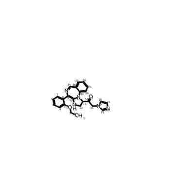 CCOc1ccccc1C1=C2NCC(C(=O)Cn3ccnc3)N2c2ccccc2C=N1